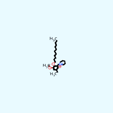 CCCCCCCCCCCCOc1c(C[N+]2([O-])CCCCC2)cc(CC)cc1OC